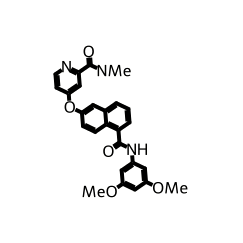 CNC(=O)c1cc(Oc2ccc3c(C(=O)Nc4cc(OC)cc(OC)c4)cccc3c2)ccn1